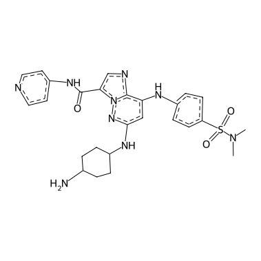 CN(C)S(=O)(=O)c1ccc(Nc2cc(NC3CCC(N)CC3)nn3c(C(=O)Nc4ccncc4)cnc23)cc1